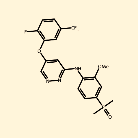 COc1cc(P(C)(C)=O)ccc1Nc1cc(Oc2cc(C(F)(F)F)ccc2F)cnn1